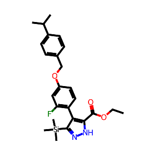 CCOC(=O)c1[nH]nc([Si](C)(C)C)c1-c1ccc(OCc2ccc(C(C)C)cc2)cc1F